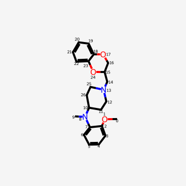 COc1ccccc1N(C)C1CCN(CC2COc3ccccc3O2)CC1